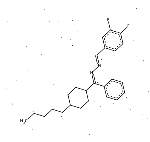 CCCCCC1CCC(C(=NN=Cc2ccc(F)c(F)c2)c2ccccc2)CC1